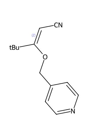 CC(C)(C)/C(=C/C#N)OCc1ccncc1